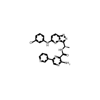 C[C@@H](NC(=O)c1nc(-c2cccnc2)cnc1N)c1nnc2ccc(Nc3cccc(Cl)c3)nn12